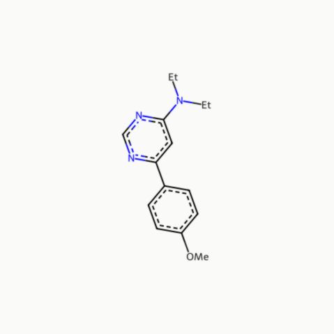 CCN(CC)c1cc(-c2ccc(OC)cc2)ncn1